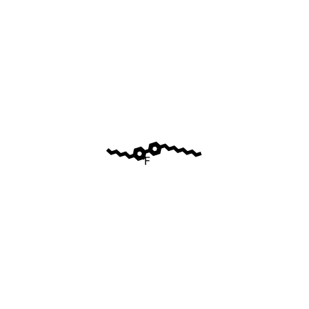 CCCCCCCCCc1ccc(-c2ccc(CCCCCC)cc2F)cc1